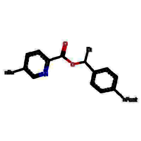 CCCCCc1ccc(C(CC)OC(=O)c2ccc(CCCC)cn2)cc1